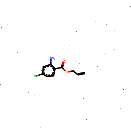 C=CCOC(=O)c1ccc(F)cc1N